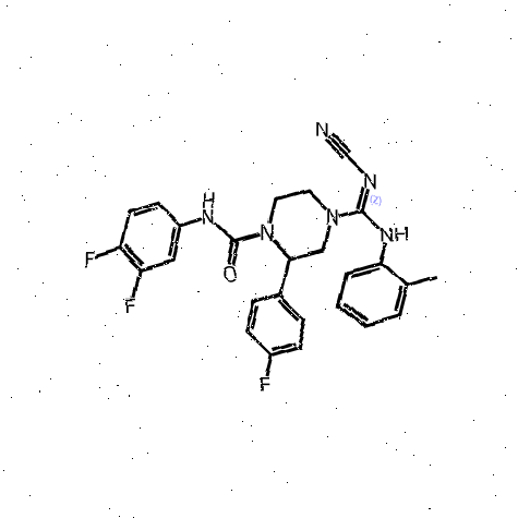 Cc1ccccc1N/C(=N/C#N)N1CCN(C(=O)Nc2ccc(F)c(F)c2)C(c2ccc(F)cc2)C1